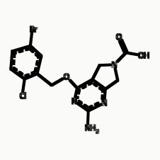 Nc1nc2c(c(OCc3cc(Br)ccc3Cl)n1)CN(C(=O)O)C2